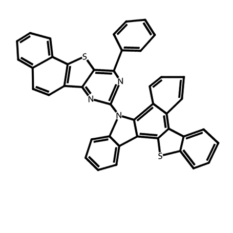 c1ccc(-c2nc(-n3c4ccccc4c4c5sc6ccccc6c5c5ccccc5c43)nc3c2sc2c4ccccc4ccc32)cc1